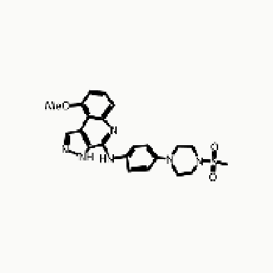 COc1cccc2nc(Nc3ccc(N4CCN(S(C)(=O)=O)CC4)cc3)c3[nH]ncc3c12